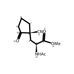 COC(=O)[C@H](C[C@@]1(C#N)CCCC1=O)NC(C)=O